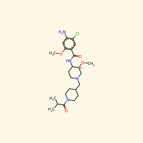 COc1cc(N)c(Cl)cc1C(=O)NC1CCN(CC2CCN(C(=O)C(C)C)CC2)C[C@@H]1OC